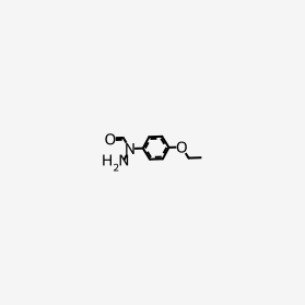 CCOc1ccc(N(N)C=O)cc1